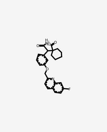 NC(=O)C(c1cccc(OCc2ccc3ccc(F)cc3n2)c1)C1(C(=O)O)CCCCC1